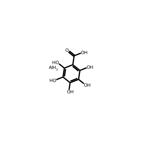 O=C(O)c1c(O)c(O)c(O)c(O)c1O.[AlH3]